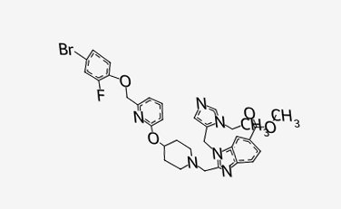 CCn1cncc1Cn1c(CN2CCC(Oc3cccc(COc4ccc(Br)cc4F)n3)CC2)nc2ccc(C(=O)OC)cc21